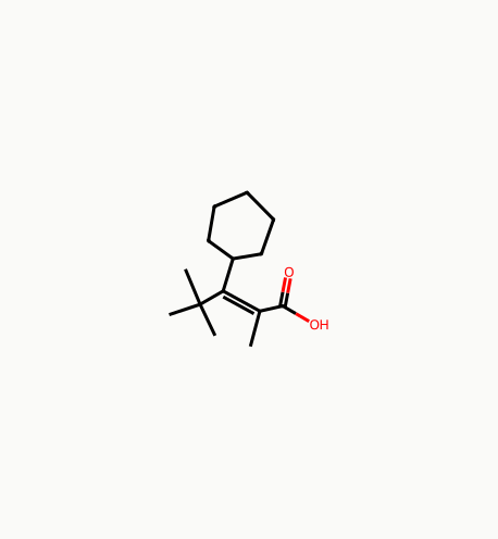 CC(C(=O)O)=C(C1CCCCC1)C(C)(C)C